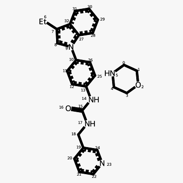 C1COCCN1.CCc1cn(-c2ccc(NC(=O)NCc3cccnc3)cc2)c2ccccc12